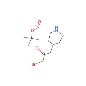 CC(C)(C)OC=O.O=C(CBr)CC1CCNCC1